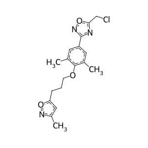 Cc1cc(CCCOc2c(C)cc(-c3noc(CCl)n3)cc2C)on1